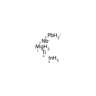 [InH3].[MgH2].[Nb].[PbH2].[Ti]